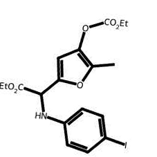 CCOC(=O)Oc1cc(C(Nc2ccc(I)cc2)C(=O)OCC)oc1C